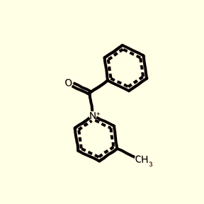 Cc1ccc[n+](C(=O)c2ccccc2)c1